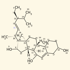 CC[C@H](/C=C/[C@@H](C)[C@H]1C(O)C[C@H]2[C@@H]3C(O)C=C4CC(O)CC[C@]4(C)[C@H]3CC[C@]12C)C(C)C